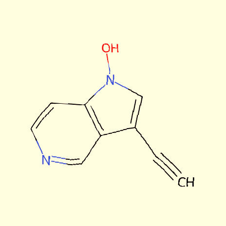 C#Cc1cn(O)c2ccncc12